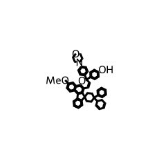 COc1ccc2c3c(c4c(c2c1)OC(c1ccc(O)cc1)(c1ccc(N2CCOCC2)cc1)C=C4)C1(CCC(c2ccccc2)(C2C=CC=CC2)CC1)c1ccccc1-3